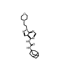 O=C(Nc1ncnc2c1cnn2CCN1CCOCC1)NC12CC3CC(C1)C(C3)C2